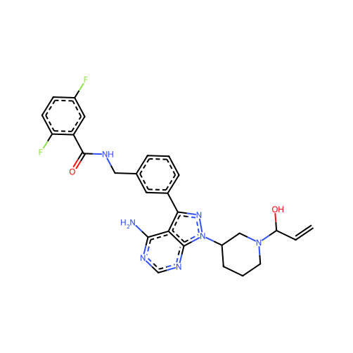 C=CC(O)N1CCCC(n2nc(-c3cccc(CNC(=O)c4cc(F)ccc4F)c3)c3c(N)ncnc32)C1